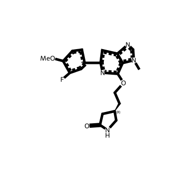 COc1ccc(-c2cc3ncn(C)c3c(OCC[C@H]3CNC(=O)C3)n2)cc1F